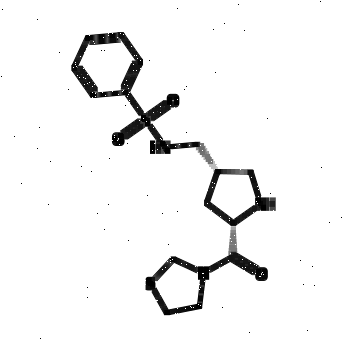 O=C([C@@H]1C[C@H](CNS(=O)(=O)c2ccccc2)CN1)N1CCSC1